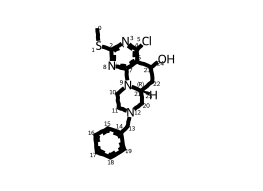 CSc1nc(Cl)c2c(n1)N1CCN(Cc3ccccc3)C[C@H]1CC2O